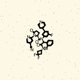 N#Cc1ccnc(N2C(=O)CC[C@H]2C(=O)N(c2cc(F)cc(-c3ccncc3)c2)C(C(=O)NC2CC(F)(F)C2)c2ccccc2Cl)c1